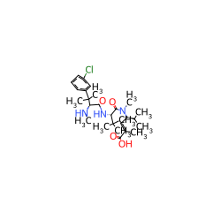 CN[C@H](C(=O)N[C@H](C(=O)N(C)[C@H](/C=C(\C)C(=O)O)C(C)C)C(C)(C)C)C(C)(C)c1cccc(Cl)c1